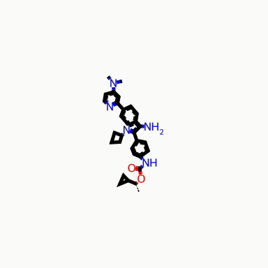 C[C@@H](OC(=O)Nc1ccc(-c2c(N)c3ccc(-c4cc(N(C)C)ccn4)cc3n2C2CCC2)cc1)C1CC1